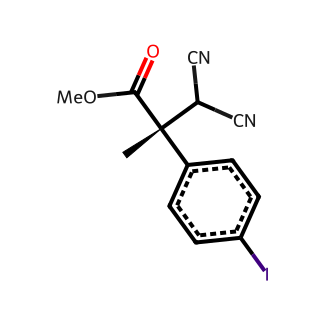 COC(=O)[C@@](C)(c1ccc(I)cc1)C(C#N)C#N